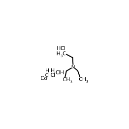 CCN(CC)CC.Cl.Cl.Cl.Cl.[Co]